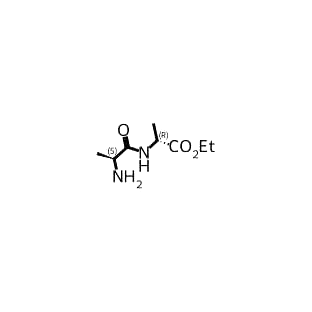 CCOC(=O)[C@@H](C)NC(=O)[C@H](C)N